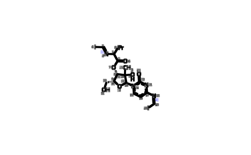 CC(C)C(/N=C/I)C(=O)O[C@H]1[C@@H](CO)O[C@H](n2ccc(/N=C\I)nc2=O)C1(C)O